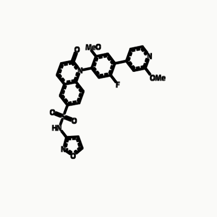 COc1cc(-c2cc(OC)c(-n3c(=O)ccc4cc(S(=O)(=O)Nc5ccon5)ccc43)cc2F)ccn1